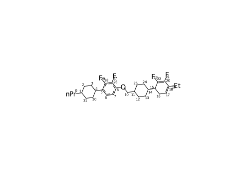 CCCC1CCC(c2ccc(OCC3CCC(C4CC=C(CC)C(F)=C4F)CC3)c(F)c2F)CC1